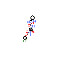 CC1(C2CCCCCC2)NOC(C(=O)NC23CCC(NC(=O)COc4ccc(Cl)c(F)c4)(CC2)[C@@H](O)C3)N1